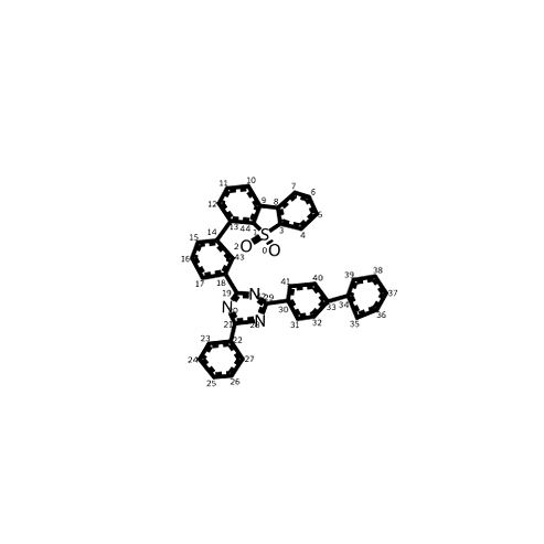 O=S1(=O)c2ccccc2-c2cccc(-c3cccc(-c4nc(-c5ccccc5)nc(-c5ccc(-c6ccccc6)cc5)n4)c3)c21